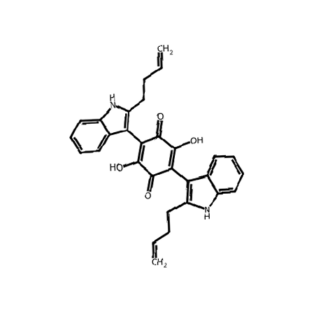 C=CCCc1[nH]c2ccccc2c1C1=C(O)C(=O)C(c2c(CCC=C)[nH]c3ccccc23)=C(O)C1=O